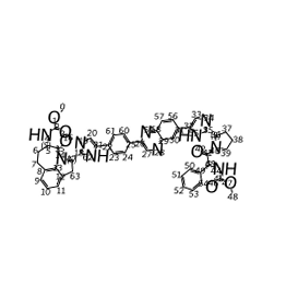 COC(=O)N[C@H]1CCc2cccc3c2N(C1=O)[C@H](c1ncc(-c2ccc(-c4cnc5cc(-c6cnc([C@@H]7CCCN7C(=O)[C@H](NC(=O)OC)c7ccccc7)[nH]6)ccc5n4)cc2)[nH]1)C3